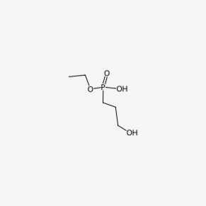 CCOP(=O)(O)CCCO